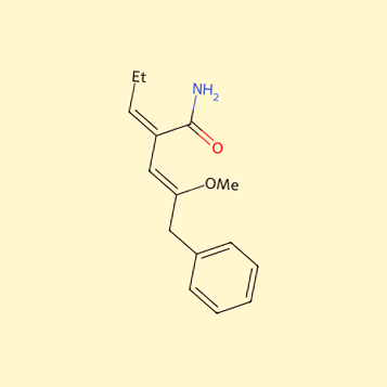 CC/C=C(/C=C(/Cc1ccccc1)OC)C(N)=O